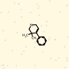 CC1(C)C[N]CC=C1c1ccccc1